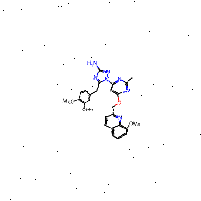 COc1ccc(Cc2nc(N)nn2-c2cc(OCc3ccc4cccc(OC)c4n3)nc(C)n2)cc1OC